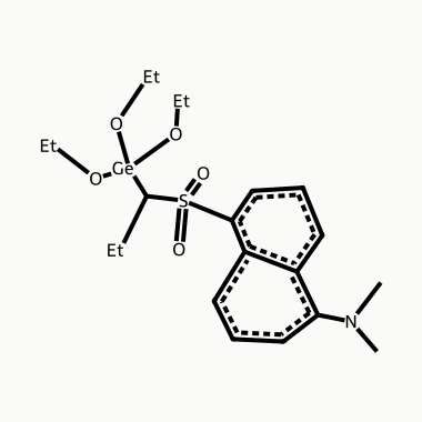 CC[O][Ge]([O]CC)([O]CC)[CH](CC)S(=O)(=O)c1cccc2c(N(C)C)cccc12